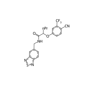 CCCC(Oc1ccc(C#N)c(C(F)(F)F)c1)C(=O)NCc1ccc2nsnc2c1